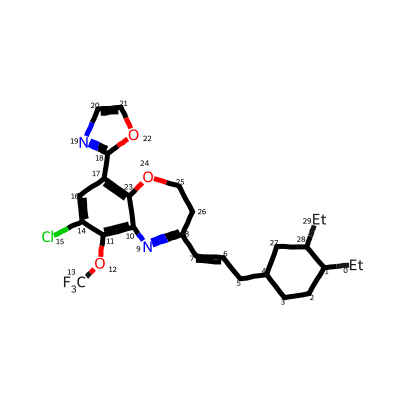 CCC1CCC(C/C=C/C2=Nc3c(OC(F)(F)F)c(Cl)cc(-c4ncco4)c3OCC2)CC1CC